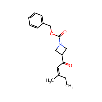 CC/C(C)=C\C(=O)C1CN(C(=O)OCc2ccccc2)C1